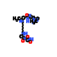 Cc1nn(CCCCCCCCNc2cccc3c2CN(C2CCC(=O)NC2=O)C3=O)c2cc(C(=O)Nc3cc4[nH]c([C@H]5CCCN5C)cc4cn3)ccc12